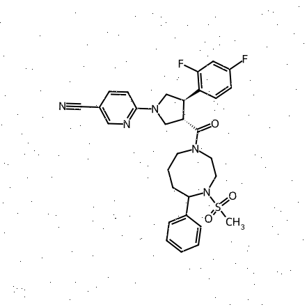 CS(=O)(=O)N1CCN(C(=O)[C@@H]2CN(c3ccc(C#N)cn3)C[C@H]2c2ccc(F)cc2F)CCCC1c1ccccc1